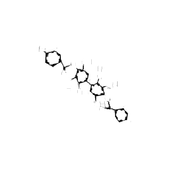 Cc1cc(-c2cc(C)c(OC(=O)c3ccc(F)cc3)c(C)c2C)c(C)c(C)c1OC(=O)c1ccccc1